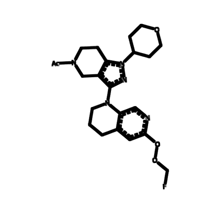 CC(=O)N1CCc2c(c(N3CCCc4cc(OOCF)ncc43)nn2C2CCOCC2)C1